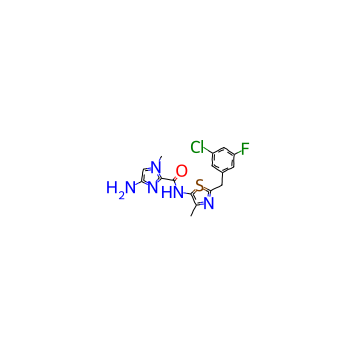 Cc1nc(Cc2cc(F)cc(Cl)c2)sc1NC(=O)c1nc(N)cn1C